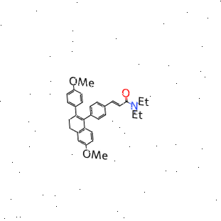 CCN(CC)C(=O)C=Cc1ccc(C2=C(c3ccc(OC)cc3)CCc3cc(OC)ccc32)cc1